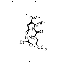 CCC[C@@H]1C(OC)=CC(=O)N1C(=O)[C@@H](CCC(Cl)(Cl)Cl)NC(=O)CC